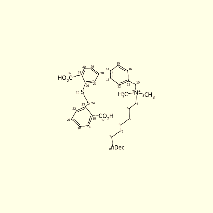 CCCCCCCCCCCCCCCC[N+](C)(C)Cc1ccccc1.O=C(O)c1ccccc1SSc1ccccc1C(=O)O